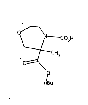 CCCCOC(=O)C1(C)COCCN1C(=O)O